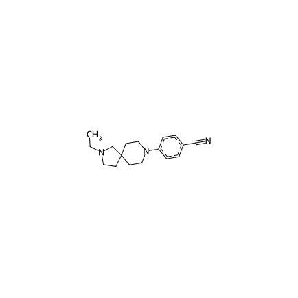 CCN1CCC2(CCN(c3ccc(C#N)cc3)CC2)C1